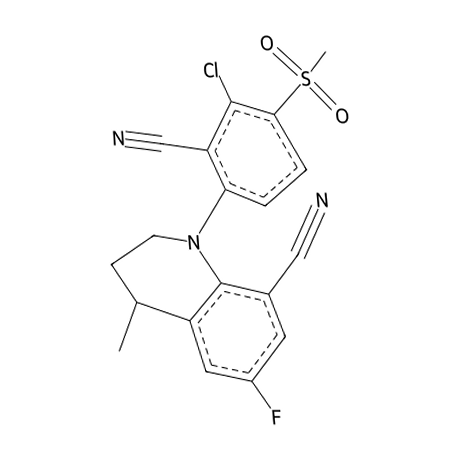 CC1CCN(c2ccc(S(C)(=O)=O)c(Cl)c2C#N)c2c(C#N)cc(F)cc21